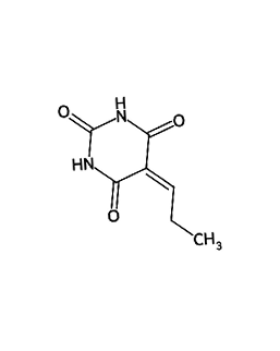 CCC=C1C(=O)NC(=O)NC1=O